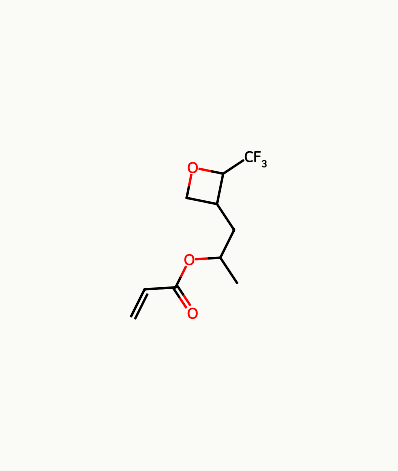 C=CC(=O)OC(C)CC1COC1C(F)(F)F